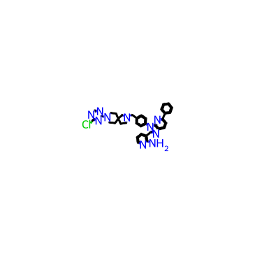 Nc1ncccc1-c1nc2ccc(-c3ccccc3)nc2n1-c1ccc(CN2CCC3(CCN(c4ncnc(Cl)n4)CC3)C2)cc1